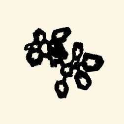 c1ccc(-c2cc(-c3nc(-c4ccccc4)nc(-c4cccc5oc6cccc(-c7ccccc7)c6c45)n3)c3c(c2)[Si](c2ccccc2)(c2ccccc2)c2ccccc2-3)cc1